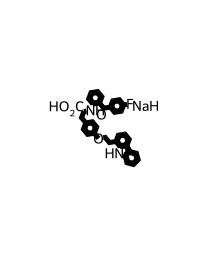 O=C(c1ccc(F)cc1)c1ccccc1NC(Cc1ccc(OCCc2cccc3c2[nH]c2ccccc23)cc1)C(=O)O.[NaH]